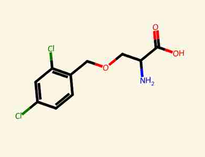 NC(COCc1ccc(Cl)cc1Cl)C(=O)O